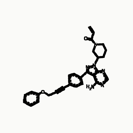 C=CC(=O)N1CCCC(n2nc(-c3ccc(C#CCOc4ccccc4)cc3)c3c(N)ncnc32)C1